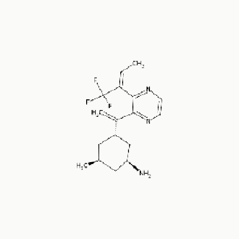 C=C(c1nccnc1/C(=C\C)C(F)(F)F)[C@H]1C[C@H](C)C[C@H](N)C1